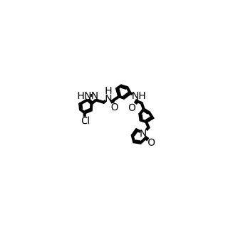 O=C(Cc1ccc(Cn2ccccc2=O)cc1)Nc1cccc(C(=O)NCc2n[nH]c3ccc(Cl)cc23)c1